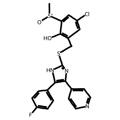 C[S+]([O-])c1cc(Cl)cc(CSc2nc(-c3ccncc3)c(-c3ccc(F)cc3)[nH]2)c1O